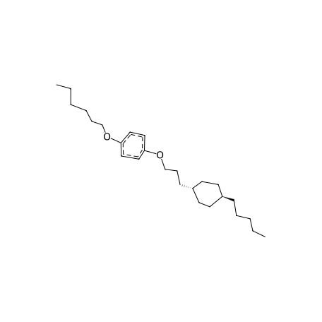 CCCCCCOc1ccc(OCCC[C@H]2CC[C@H](CCCCC)CC2)cc1